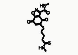 CNC(=O)c1noc2c1C(=O)C(SCCCC(=S)NC)=CC2=O